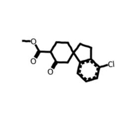 COC(=O)C1CCC2(CCc3c(Cl)cccc32)CC1=O